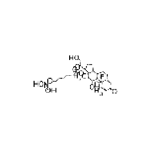 C[C@]12C=CC(=O)C=C1CCC1C3CC[C@](OC(=O)CCCCCON(O)O)(C(=O)CO)[C@@]3(C)C[C@H](O)[C@@]12F